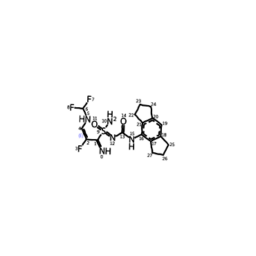 N=C(/C(F)=C\NC(F)F)S(N)(=O)=NC(=O)Nc1c2c(cc3c1CCC3)CCC2